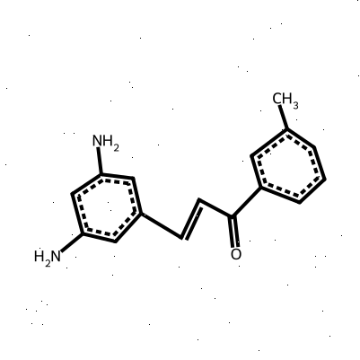 Cc1cccc(C(=O)C=Cc2cc(N)cc(N)c2)c1